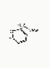 C1=CNOC=C1.CNC